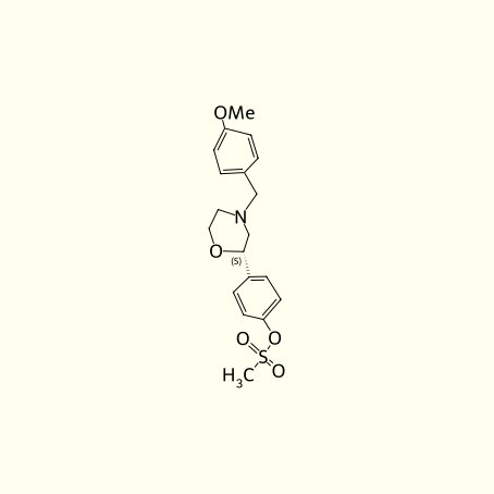 COc1ccc(CN2CCO[C@@H](c3ccc(OS(C)(=O)=O)cc3)C2)cc1